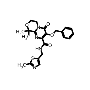 Cc1ncc(CNC(=O)c2nc3n(c(=O)c2OCc2ccccc2)CCOC3(C)C)s1